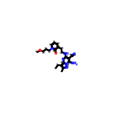 CCc1c(C)nn2c(N)c(C#N)c(NCCc3cccn(CCCOC)c3=O)nc12